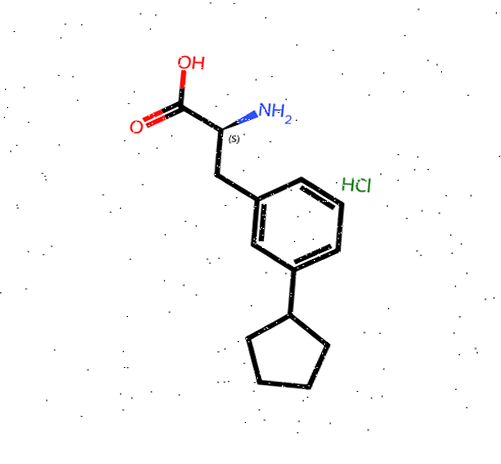 Cl.N[C@@H](Cc1cccc(C2CCCC2)c1)C(=O)O